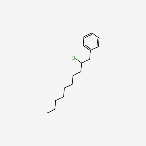 CCCCCCCC[C](Cl)Cc1ccccc1